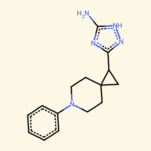 Nc1nc(C2CC23CCN(c2ccccc2)CC3)n[nH]1